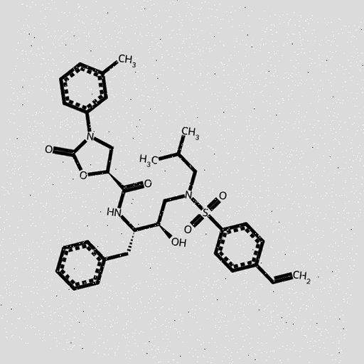 C=Cc1ccc(S(=O)(=O)N(CC(C)C)C[C@@H](O)[C@H](Cc2ccccc2)NC(=O)[C@@H]2CN(c3cccc(C)c3)C(=O)O2)cc1